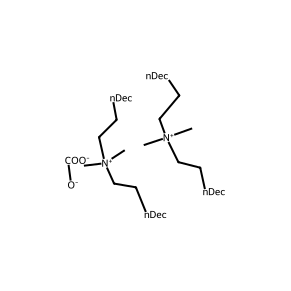 CCCCCCCCCCCC[N+](C)(C)CCCCCCCCCCCC.CCCCCCCCCCCC[N+](C)(C)CCCCCCCCCCCC.O=C([O-])[O-]